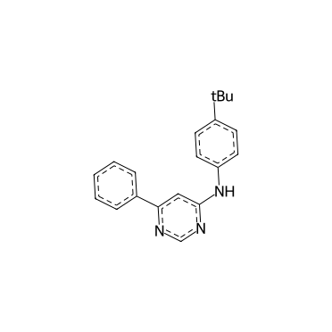 CC(C)(C)c1ccc(Nc2cc(-c3ccccc3)ncn2)cc1